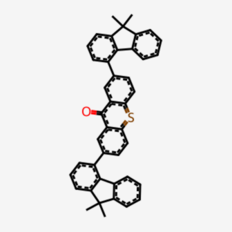 CC1(C)c2ccccc2-c2c(-c3ccc4sc5ccc(-c6cccc7c6-c6ccccc6C7(C)C)cc5c(=O)c4c3)cccc21